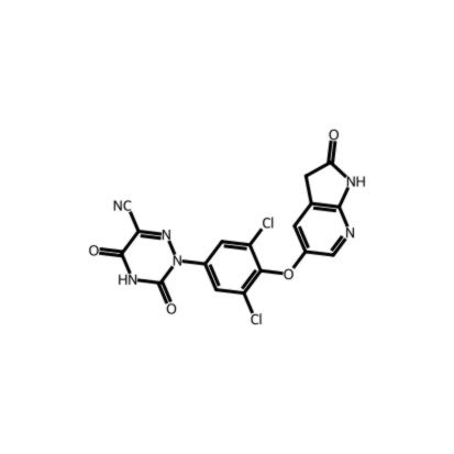 N#Cc1nn(-c2cc(Cl)c(Oc3cnc4c(c3)CC(=O)N4)c(Cl)c2)c(=O)[nH]c1=O